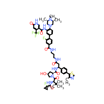 Cc1ncsc1-c1ccc(C(CC(=O)NCCCNC(=O)c2ccc(-c3ccc(N4C[C@@H](C)N(C)[C@@H](C)C4)c(NC(=O)c4c[nH]c(=O)cc4C(F)(F)F)c3)c(F)c2)NC(=O)[C@@H]2C[C@@H](O)CN2C(=O)C(NC(=O)C2(F)CC2)C(C)(C)C)cc1